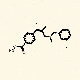 CC(=Cc1ccc(C(=O)NO)cc1)CN(C)Cc1ccccc1